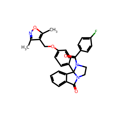 Cc1noc(C)c1COc1ccc(C23c4ccccc4C(=O)N2CCN3C(=O)c2ccc(F)cc2)cc1